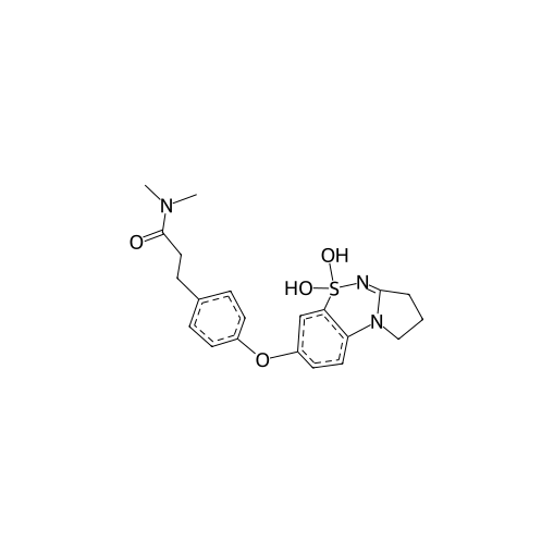 CN(C)C(=O)CCc1ccc(Oc2ccc3c(c2)S(O)(O)N=C2CCCN23)cc1